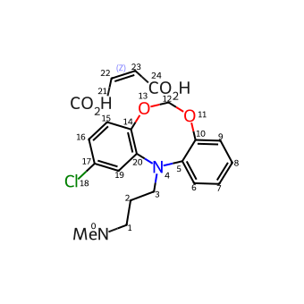 CNCCCN1c2ccccc2OCOc2ccc(Cl)cc21.O=C(O)/C=C\C(=O)O